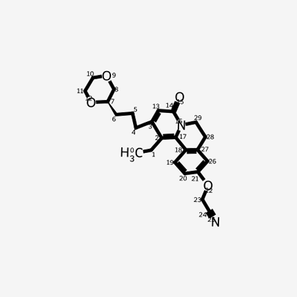 CCc1c(CCC[C@@H]2COCCO2)cc(=O)n2c1-c1ccc(OCC#N)cc1CC2